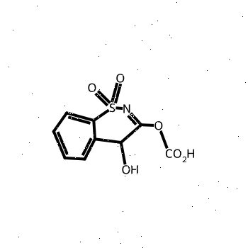 O=C(O)OC1=NS(=O)(=O)c2ccccc2C1O